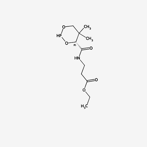 CCOC(=O)CCNC(=O)[C@@H]1OPOCC1(C)C